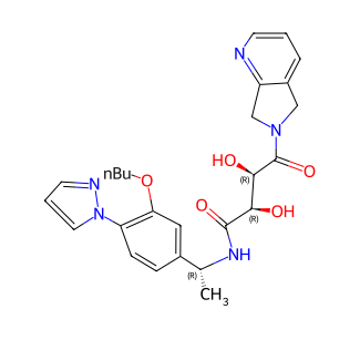 CCCCOc1cc([C@@H](C)NC(=O)[C@H](O)[C@@H](O)C(=O)N2Cc3cccnc3C2)ccc1-n1cccn1